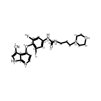 N#Cc1c[nH]c2nccc(Oc3c(F)cc(NC(=O)NCCCN4CCOCC4)cc3F)c12